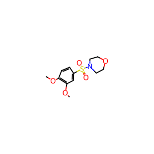 COc1ccc(S(=O)(=O)N2CCOCC2)cc1OC